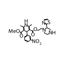 COC(=O)C1=C(C)NC(C)=C(C(=O)OCCN2CCNCC2c2nccs2)C1c1cccc([N+](=O)[O-])c1